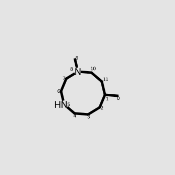 CC1CCCNCCN(C)CC1